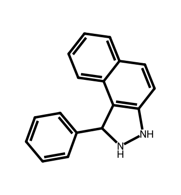 c1ccc(C2NNc3ccc4ccccc4c32)cc1